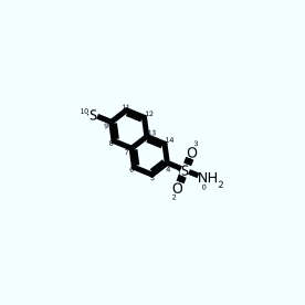 NS(=O)(=O)c1ccc2cc([S])ccc2c1